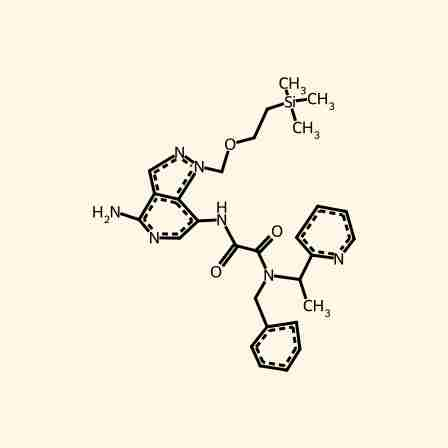 CC(c1ccccn1)N(Cc1ccccc1)C(=O)C(=O)Nc1cnc(N)c2cnn(COCC[Si](C)(C)C)c12